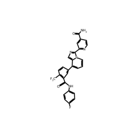 NC(=O)c1ccnc(-c2ncc3c(-c4ccc(C(F)(F)F)c(C(=O)Nc5ccc(F)cc5)c4)cccn23)c1